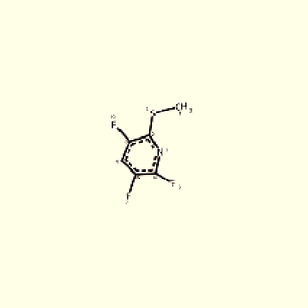 CSc1nc(F)c(F)cc1F